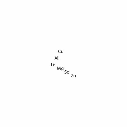 [Al].[Cu].[Li].[Mg].[Sc].[Zn]